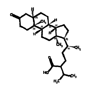 CC(C)C(CC[C@@H](C)[C@H]1CC[C@H]2[C@@H]3CC[C@@H]4CC(=O)CC[C@]4(C)[C@H]3CC[C@]12C)C(=O)O